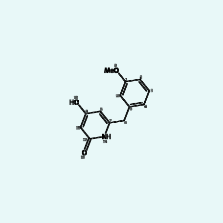 COc1cccc(Cc2cc(O)cc(=O)[nH]2)c1